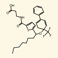 CCCCCCCC(OC1(C(F)(F)F)C=CC(c2ccccc2)=CC1)c1ccc(C(=O)NCCC(=O)O)s1